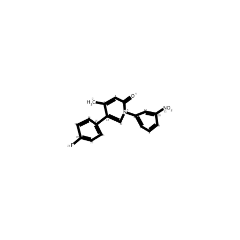 Cc1cc(=O)n(-c2cccc([N+](=O)[O-])c2)cc1-c1ccc(F)cc1